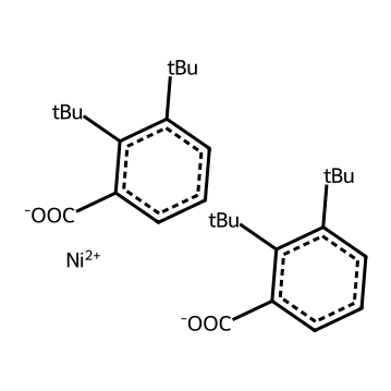 CC(C)(C)c1cccc(C(=O)[O-])c1C(C)(C)C.CC(C)(C)c1cccc(C(=O)[O-])c1C(C)(C)C.[Ni+2]